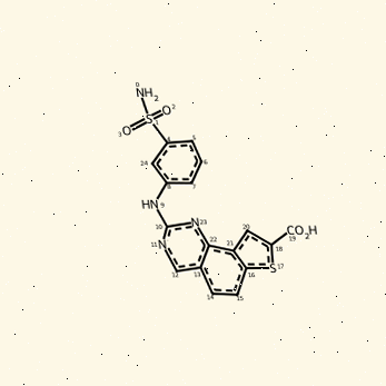 NS(=O)(=O)c1cccc(Nc2ncc3ccc4sc(C(=O)O)cc4c3n2)c1